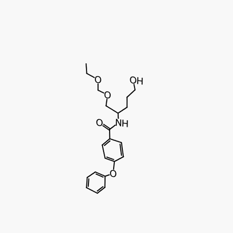 CCOCOCC(CCCO)NC(=O)c1ccc(Oc2ccccc2)cc1